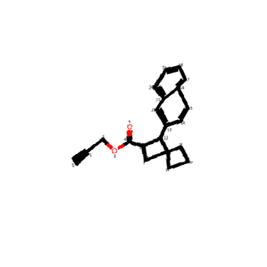 C#CCOC(=O)C1CC2(CCC2)C1c1ccc2ccccc2c1